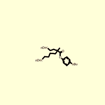 CCCCCCCCCCCCCCC(C)(CCCCCCCCCCCC)C(=O)Oc1ccc(CCCC)cc1